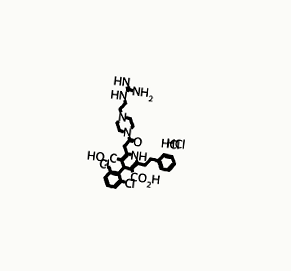 Cl.Cl.N=C(N)NCCN1CCN(C(=O)CC2=C(C(=O)O)C(c3c(Cl)cccc3Cl)C(C(=O)O)=C(CCc3ccccc3)N2)CC1